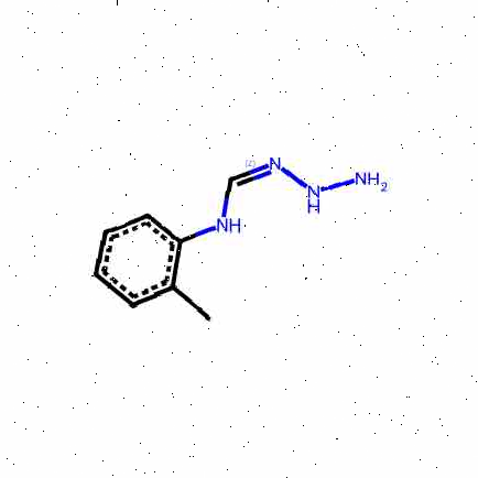 Cc1ccccc1N/C=N\NN